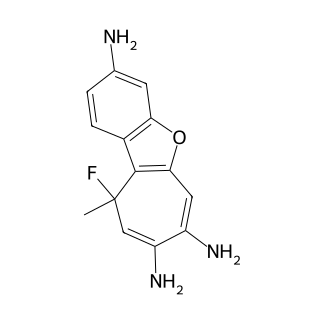 CC1(F)C=C(N)C(N)=Cc2oc3cc(N)ccc3c21